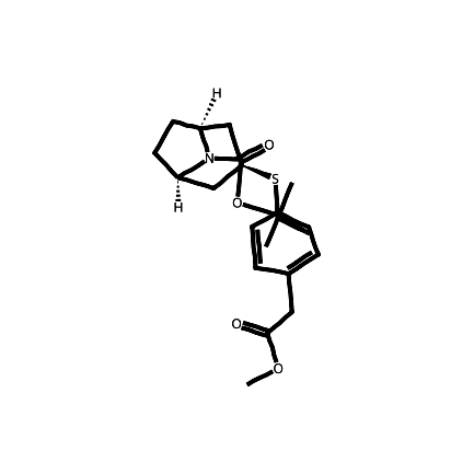 COC(=O)Cc1ccc(S[C@H]2C[C@H]3CC[C@@H](C2)N3C(=O)OC(C)(C)C)cc1